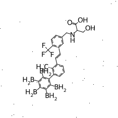 Bc1c(B)c(B)c(-c2cccc(/C=C/c3cc(CNC(CO)C(=O)O)ccc3C(F)(F)F)c2C)c(B)c1B